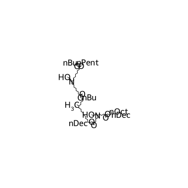 CCCCCCCCCCC(CCCCCCCC)COC(=O)CCCN(CCO)CCCC(=O)OCC(CCCCCCCCCC)CCCCCCCCC(C)CCCC(CCCC)OC(=O)CCCCCCCN(CCO)CCCCCCCC(=O)OC(CCCC)CCCCC